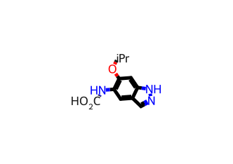 CC(C)Oc1cc2[nH]ncc2cc1NC(=O)O